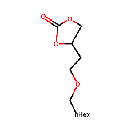 CCCCCCCOCCC1COC(=O)O1